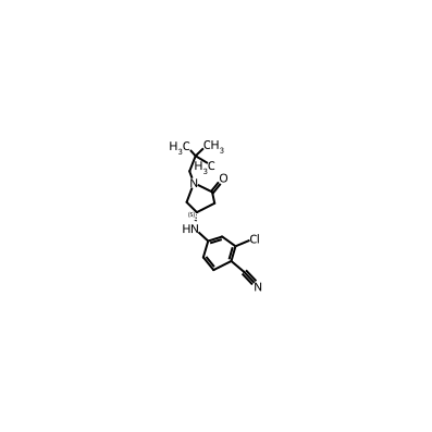 CC(C)(C)CN1C[C@@H](Nc2ccc(C#N)c(Cl)c2)CC1=O